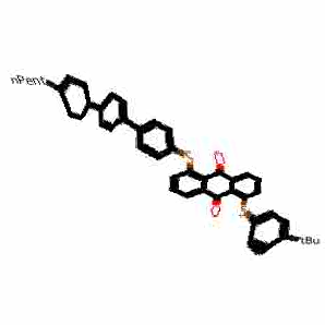 CCCCCC1CCC(c2ccc(-c3ccc(Sc4cccc5c4C(=O)c4cccc(Sc6ccc(C(C)(C)C)cc6)c4C5=O)cc3)cc2)CC1